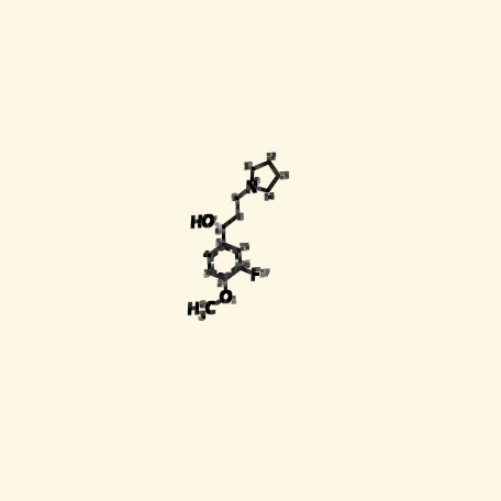 COc1ccc([C@H](O)CCN2CCCC2)cc1F